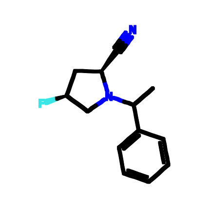 CC(c1ccccc1)N1C[C@@H](F)C[C@H]1C#N